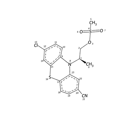 C[C@H](COS(C)(=O)=O)N1c2ccc(Cl)cc2Sc2ccc(C#N)cc21